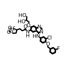 O=C(CCC1CCS(=O)(=O)S1)Nc1cc2c(Nc3ccc(OCc4cccc(F)c4)c(Cl)c3)ncnc2cc1OCC(O)CO